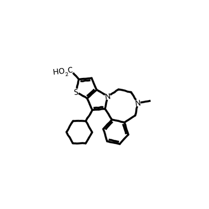 CN1CCn2c(c(C3CCCCC3)c3sc(C(=O)O)cc32)-c2ccccc2C1